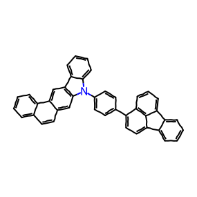 c1ccc2c(c1)-c1cccc3c(-c4ccc(-n5c6ccccc6c6cc7c(ccc8ccccc87)cc65)cc4)ccc-2c13